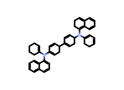 C1=CCCC(N(C2=c3ccccc3=CCC2)C2C=CC(C3C=CC(N(C4=CCCCC4)c4cccc5ccccc45)=CC3)=CC2)=C1